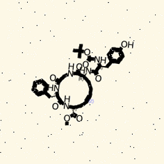 COC(=O)[C@H]1C/C=C\CC[C@@H](NC(=O)[C@H](Cc2ccc(O)cc2)NC(=O)OC(C)(C)C)C(=O)NCC(=O)N[C@@H](Cc2ccccc2)C(=O)N1